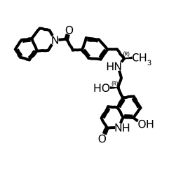 C[C@H](Cc1ccc(CC(=O)N2CCc3ccccc3C2)cc1)NC[C@H](O)c1ccc(O)c2[nH]c(=O)ccc12